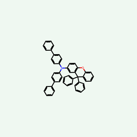 c1ccc(-c2ccc(N(c3ccc(-c4ccccc4)cc3)c3ccc4c(c3)C(c3ccccc3)(c3ccccc3)c3ccccc3O4)cc2)cc1